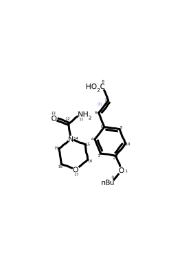 CCCCOc1ccc(/C=C/C(=O)O)cc1.NC(=O)N1CCOCC1